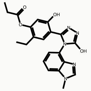 CCC(=O)Oc1cc(O)c(-c2nnc(O)n2-c2cccc3c2ncn3C)cc1CC